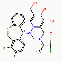 C[C@@H](N1CN([C@@H]2c3ccccc3SCc3c2ccc(F)c3F)N2C=C(CO)C(O)C(O)=C2C1=O)C(F)(F)F